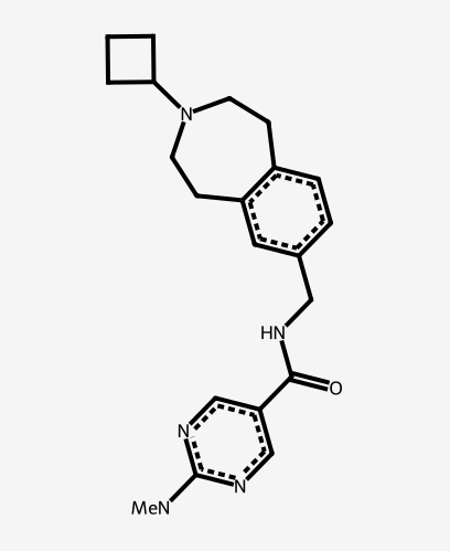 CNc1ncc(C(=O)NCc2ccc3c(c2)CCN(C2CCC2)CC3)cn1